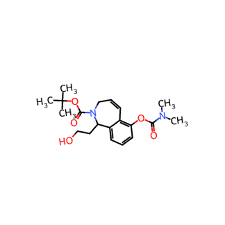 CN(C)C(=O)Oc1cccc2c1C=CCN(C(=O)OC(C)(C)C)C2CCO